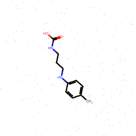 Cc1ccc(NCCCNC(=O)O)cc1